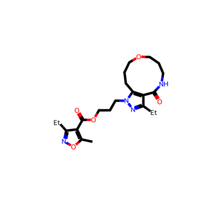 CCc1noc(C)c1C(=O)OCCCn1nc(CC)c2c1CCCOCCCNC2=O